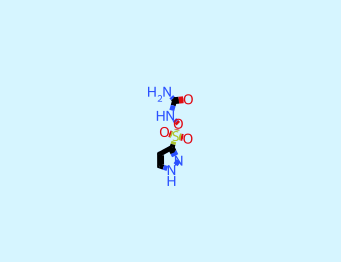 NC(=O)NOS(=O)(=O)c1cc[nH]n1